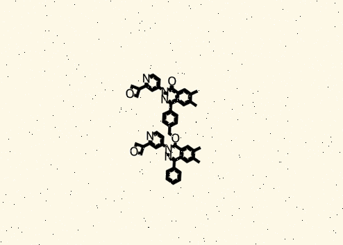 Cc1cc2c(cc1C)C(OCc1ccc(-c3nn(-c4ccnc(C5COC5)c4)c(=O)c4cc(C)c(C)cc34)cc1)N(c1ccnc(C3COC3)c1)N=C2c1ccccc1